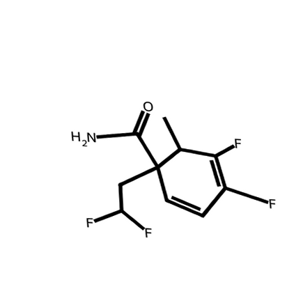 CC1C(F)=C(F)C=CC1(CC(F)F)C(N)=O